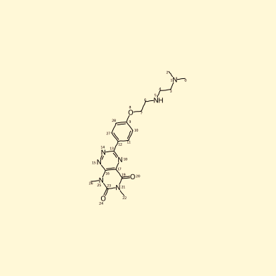 CN(C)CCNCCOc1ccc(-c2nnc3c(n2)c(=O)n(C)c(=O)n3C)cc1